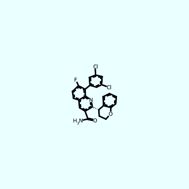 NC(=O)c1cc2ccc(F)c(-c3cc(Cl)cc(Cl)c3)c2nc1[C@H]1CCOc2ccccc21